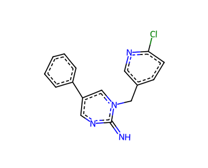 N=c1ncc(-c2ccccc2)cn1Cc1ccc(Cl)nc1